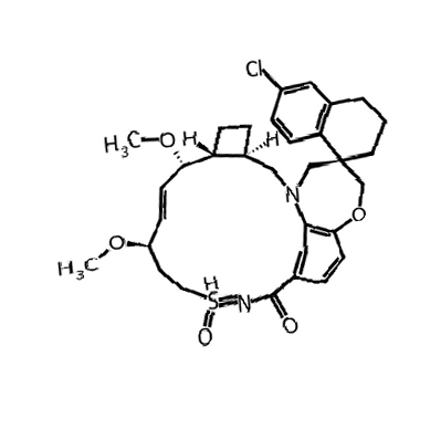 CO[C@H]1/C=C/[C@H](OC)CC/[SH](=O)=N\C(=O)c2ccc3c(c2)N(C[C@@H]2CC[C@H]21)C[C@@]1(CCCc2cc(Cl)ccc21)CO3